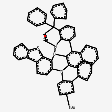 CC(C)(C)c1ccc(N2c3cc4ccccc4c4c3B(c3c2ccc2c3sc3ccccc32)N2c3ccccc3C(c3ccccc3)(c3ccccc3)c3cccc-4c32)c(-c2ccccc2)c1